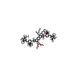 CCCCC(CC)CC1(CC(CC)CCCC)c2cc3c(cc2-c2sc(-c4ccc(/C=C5\SC(=S)N(CC)C5=O)c5nsnc45)cc21)C(CC(CC)CCCC)(CC(CC)CCCC)c1cc(-c2ccc(/C=C4\SC(S)N(CC)C4=O)c4nsnc24)sc1-3